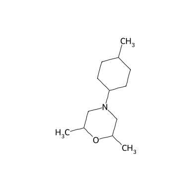 CC1CCC(N2CC(C)OC(C)C2)CC1